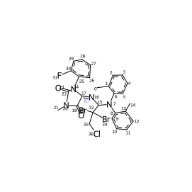 Cc1ccccc1N(c1ccccc1C)C(/N=C1\C(=O)N(C)C(=O)N1c1ccccc1F)C(Br)(Br)CCl